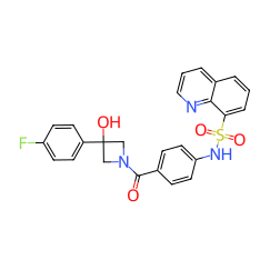 O=C(c1ccc(NS(=O)(=O)c2cccc3cccnc23)cc1)N1CC(O)(c2ccc(F)cc2)C1